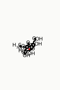 CC(=O)O[CH]c1cc2c(cc1C(=O)O)C1(OC2=O)c2cc(CCC(=O)O)c(O)cc2Oc2cc(O)c(CCC(=O)O)cc21